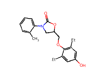 CCc1cc(O)cc(CC)c1OCC1CN(c2ccccc2C)C(=O)O1